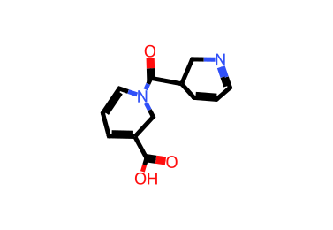 O=C(O)C1=CC=CN(C(=O)C2C=CC=NC2)C1